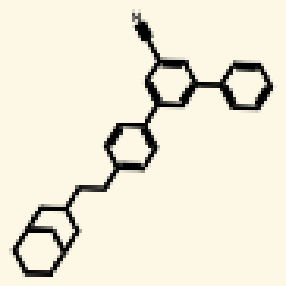 N#Cc1cc(-c2ccccc2)cc(-c2ccc(CCC3CC4CCCC(C4)C3)cc2)c1